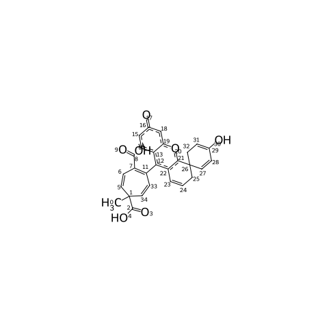 CC1(C(=O)O)C=CC(C(=O)O)=C(c2c3ccc(=O)cc-3oc3c2C=CCC32C=CC(O)=CC2)C=C1